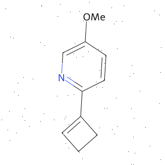 COc1ccc(C2=CCC2)nc1